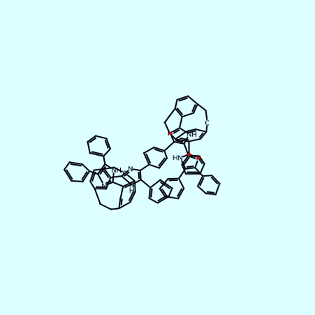 c1ccc(-c2nc(-c3cc4ccc3CCc3ccc(cc3-c3nc(-c5ccc(-c6nc(-c7cc8ccc7CCc7ccc(cc7-c7nc(-c9ccccc9)c(-c9ccccc9)[nH]7)CC8)[nH]c6-c6ccccc6)cc5)c(-c5ccccc5)[nH]3)CC4)[nH]c2-c2ccccc2)cc1